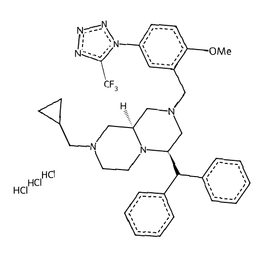 COc1ccc(-n2nnnc2C(F)(F)F)cc1CN1C[C@@H]2CN(CC3CC3)CCN2[C@H](C(c2ccccc2)c2ccccc2)C1.Cl.Cl.Cl